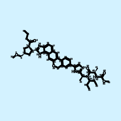 CCCC(=O)N1C[C@@H](COC)C[C@H]1c1nc2ccc3cc4c(cc3c2[nH]1)OCc1cc(-c2cnc([C@H](C)N(C(=O)[C@H](C)NC(=O)OC)C(CC)CC)[nH]2)ccc1-4